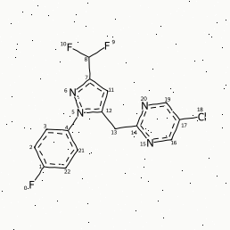 Fc1ccc(-n2nc(C(F)F)cc2Cc2ncc(Cl)cn2)cc1